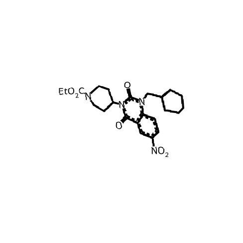 CCOC(=O)N1CCC(n2c(=O)c3cc([N+](=O)[O-])ccc3n(CC3CCCCC3)c2=O)CC1